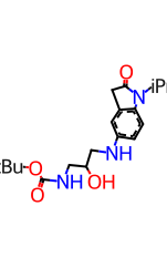 CC(C)N1C(=O)Cc2cc(NCC(O)CNC(=O)OC(C)(C)C)ccc21